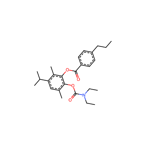 CCCc1ccc(C(=O)Oc2c(C)c(C(C)C)cc(C)c2OC(=O)N(CC)CC)cc1